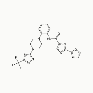 O=C(Nc1ccccc1N1CCN(c2nnc(C(F)(F)F)s2)CC1)c1csc(-c2cccs2)n1